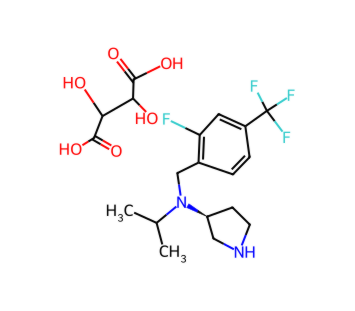 CC(C)N(Cc1ccc(C(F)(F)F)cc1F)[C@H]1CCNC1.O=C(O)C(O)C(O)C(=O)O